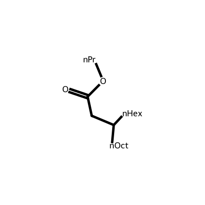 CCCCCCCCC(CCCCCC)CC(=O)OCCC